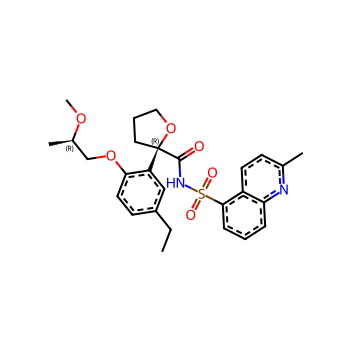 CCc1ccc(OC[C@@H](C)OC)c([C@@]2(C(=O)NS(=O)(=O)c3cccc4nc(C)ccc34)CCCO2)c1